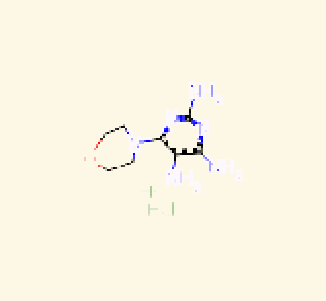 Cl.Cl.Nc1nc(N)c(N)c(N2CCOCC2)n1